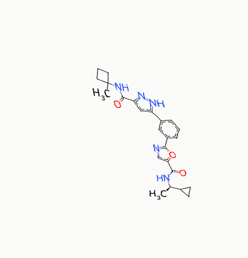 C[C@@H](NC(=O)c1cnc(-c2cccc(-c3cc(C(=O)NC4(C)CCC4)n[nH]3)c2)o1)C1CC1